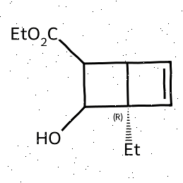 CCOC(=O)C1C(O)[C@]2(CC)C=CC12